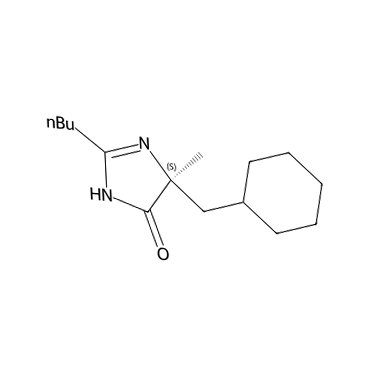 CCCCC1=N[C@@](C)(CC2CCCCC2)C(=O)N1